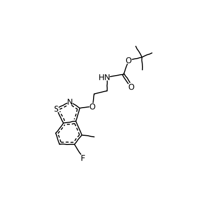 Cc1c(F)ccc2snc(OCCNC(=O)OC(C)(C)C)c12